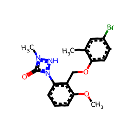 COc1cccc(-n2[nH]n(C)c2=O)c1COc1ccc(Br)cc1C